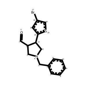 O=CC1CN(Cc2ccccc2)CC1c1cc(Br)cs1